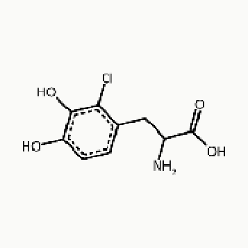 NC(Cc1ccc(O)c(O)c1Cl)C(=O)O